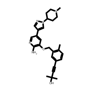 Cc1ccc(C#CC(C)(C)O)cc1COc1cc(-c2cnn(C3CCN(C)CC3)c2)cnc1N